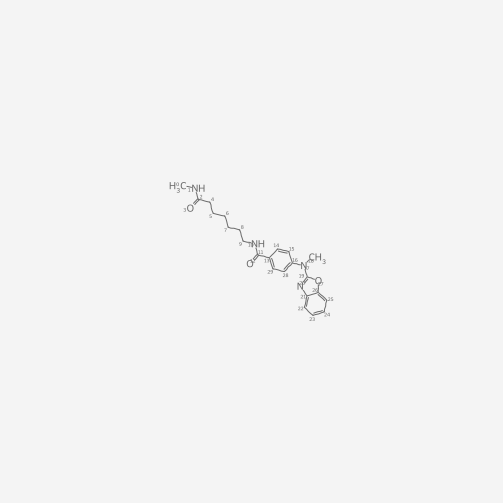 CNC(=O)CCCCCCNC(=O)c1ccc(N(C)c2nc3ccccc3o2)cc1